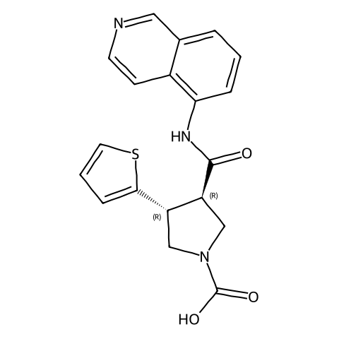 O=C(Nc1cccc2cnccc12)[C@H]1CN(C(=O)O)C[C@@H]1c1cccs1